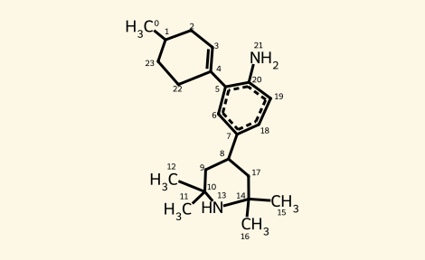 CC1CC=C(c2cc(C3CC(C)(C)NC(C)(C)C3)ccc2N)CC1